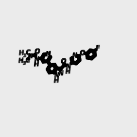 CN(C)C(=O)Nc1cncc(-c2ccc3[nH]nc(C(=O)Nc4ccc(Oc5cccc(F)c5)nc4)c3c2)c1